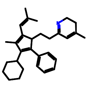 CC(C)=CC1=C(C)C(C2CCCCC2)=C(c2ccccc2)C1CCC1=NCCC(C)=C1